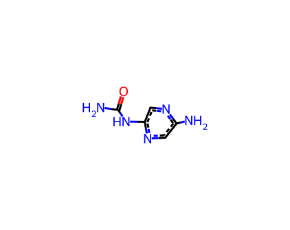 NC(=O)Nc1cnc(N)cn1